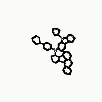 C1=CCC(c2ccc(N(c3ccc4c5ccccc5n(-c5ccccc5)c4c3)C3CCC=C4c5c6ccccc6cc6cccc(c56)C43)cc2)C=C1